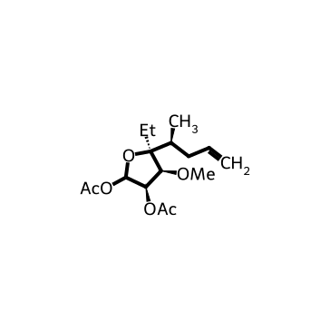 C=CC[C@H](C)[C@]1(CC)OC(OC(C)=O)[C@H](OC(C)=O)[C@@H]1OC